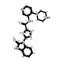 O=C(Nc1cnccc1N1CCNCC1)c1nnc(-n2c(=O)[nH]c3ccccc32)s1